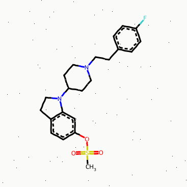 CS(=O)(=O)Oc1ccc2c(c1)N(C1CCN(CCc3ccc(F)cc3)CC1)CC2